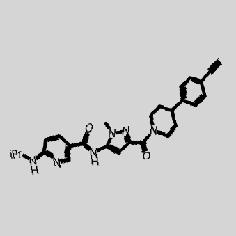 C#Cc1ccc(C2CCN(C(=O)c3cc(NC(=O)c4ccc(NC(C)C)nc4)n(C)n3)CC2)cc1